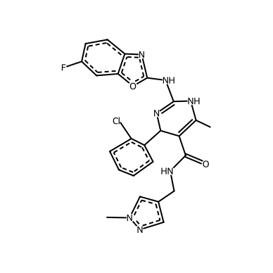 CC1=C(C(=O)NCc2cnn(C)c2)C(c2ccccc2Cl)N=C(Nc2nc3ccc(F)cc3o2)N1